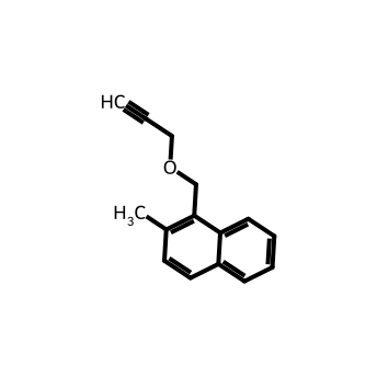 C#CCOCc1c(C)ccc2ccccc12